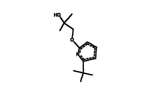 CC(C)(O)COc1cccc(C(C)(C)C)n1